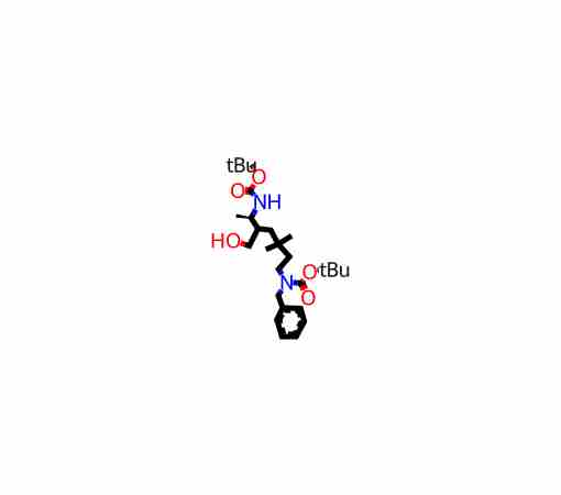 C[C@@H](NC(=O)OC(C)(C)C)C(CO)CC(C)(C)CCN(Cc1ccccc1)C(=O)OC(C)(C)C